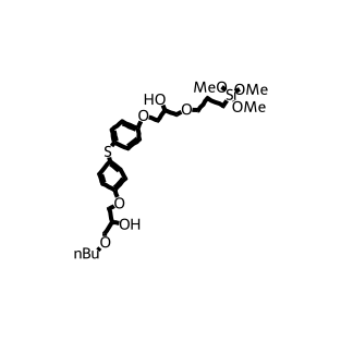 CCCCOCC(O)COc1ccc(Sc2ccc(OCC(O)COCCC[Si](OC)(OC)OC)cc2)cc1